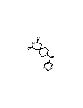 O=C1CC2(CCN(C(=O)c3cncnc3)CC2)CC(=O)N1